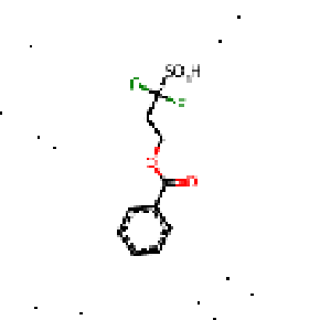 O=C(OCCC(F)(F)S(=O)(=O)O)c1ccccc1